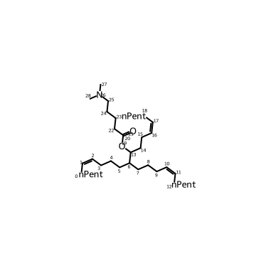 CCCCC/C=C\CCCC(CCC/C=C\CCCCC)C(CC/C=C\CCCCC)OC(=O)CCCCN(C)C